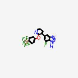 Fc1cc(-c2cccnc2Oc2ccc(S(F)(F)(F)(F)F)cc2)cc2nn[nH]c12